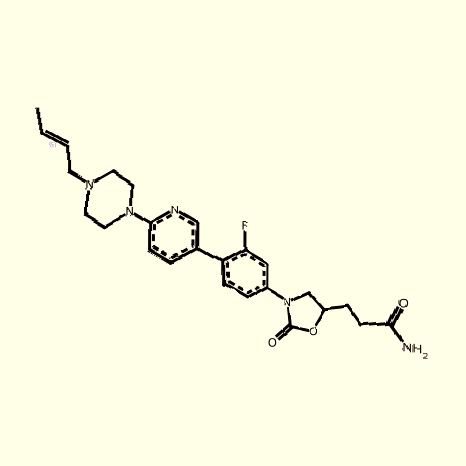 C/C=C/CN1CCN(c2ccc(-c3ccc(N4CC(CCC(N)=O)OC4=O)cc3F)cn2)CC1